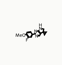 COc1ccc(-c2ncc3c(n2)NCC32CC2)cc1F